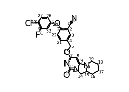 N#Cc1cc(COc2cc3n(c(=O)n2)CC2CCCCN32)ccc1Oc1ccc(Cl)c(F)c1